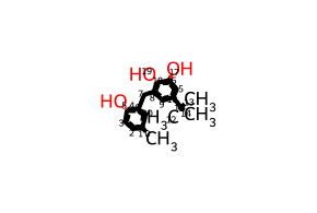 Cc1ccc(O)c(Cc2cc(C(C)(C)C)cc(O)c2O)c1